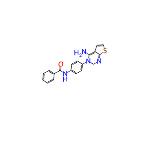 NC1=c2ccsc2=NCN1c1ccc(NC(=O)c2ccccc2)cc1